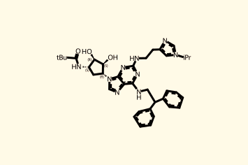 CC(C)n1cnc(CCNc2nc(NCC(c3ccccc3)c3ccccc3)c3ncn([C@@H]4C[C@H](NC(=O)C(C)(C)C)[C@@H](O)[C@H]4O)c3n2)c1